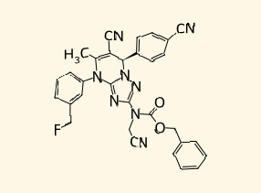 CC1=C(C#N)[C@@H](c2ccc(C#N)cc2)n2nc(N(CC#N)C(=O)OCc3ccccc3)nc2N1c1cccc(CF)c1